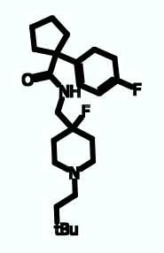 CC(C)(C)CCN1CCC(F)(CNC(=O)C2(C3=CC=C(F)CC3)CCCC2)CC1